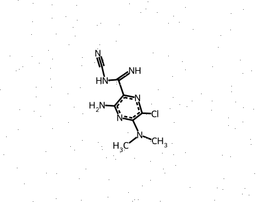 CN(C)c1nc(N)c(C(=N)NC#N)nc1Cl